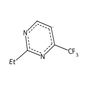 CCc1nc[c]c(C(F)(F)F)n1